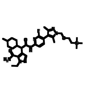 CCn1ncc(C(C(=O)Nc2ccc(-c3c(C)nn(COCC[Si](C)(C)C)c3C)c(F)n2)C2CCC(C)CC2)c1C(N)=O